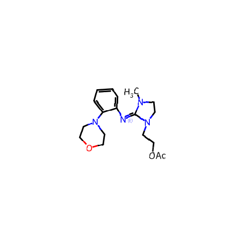 CC(=O)OCCN1CCN(C)/C1=N\c1ccccc1N1CCOCC1